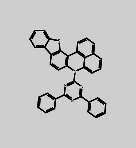 c1ccc(-c2nc(-c3ccccc3)nc(N3c4ccc5c(sc6ccccc65)c4-c4cccc5cccc3c45)n2)cc1